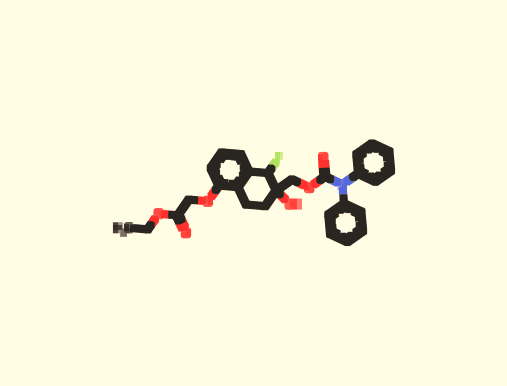 CCOC(=O)COc1cccc2c1CCC(O)(COC(=O)N(c1ccccc1)c1ccccc1)C2F